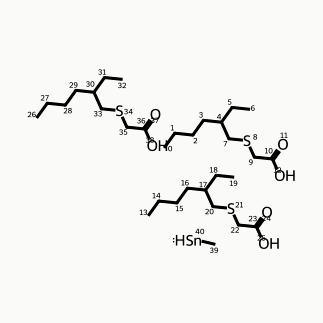 CCCCC(CC)CSCC(=O)O.CCCCC(CC)CSCC(=O)O.CCCCC(CC)CSCC(=O)O.[CH3][SnH]